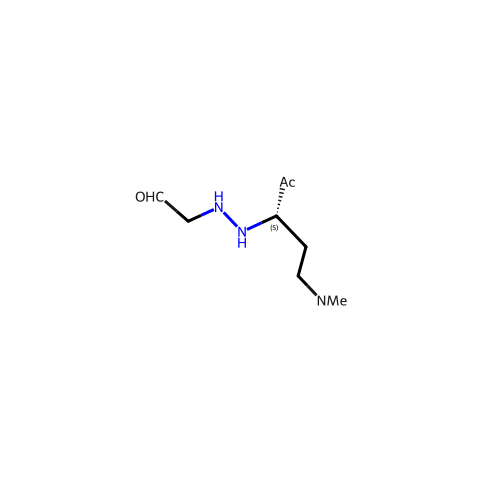 CNCC[C@H](NNCC=O)C(C)=O